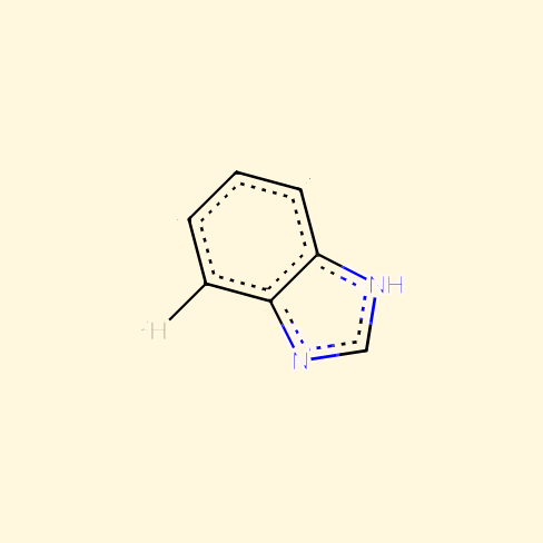 [2H]c1cccc2[nH][c]nc12